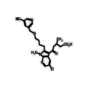 CC(CC(=O)O)CC(=O)c1c(CCCCOCc2cncc(C#N)c2)n(C)c2ncc(Cl)cc12